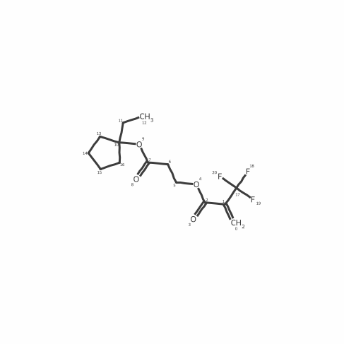 C=C(C(=O)OCCC(=O)OC1(CC)CCCC1)C(F)(F)F